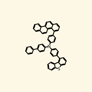 c1ccc(-c2ccc(N(c3ccc(-c4cccc5ccc6c7ccccc7ccc6c45)cc3)c3ccc(-c4cccc5sc6ccccc6c45)cc3)cc2)cc1